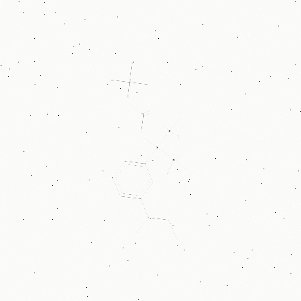 CCC(C)c1cccc(C(OC(=O)OC(C)(C)C)(C(F)(F)F)C(F)(F)F)c1